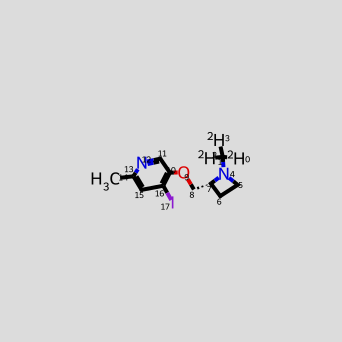 [2H]C([2H])([2H])N1CC[C@@H]1COc1cnc(C)cc1I